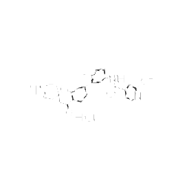 Cc1ccc(NC(=O)c2ccnc(C(F)(F)F)c2)cc1-c1ccc2c(c1)OC1(CCNCC1)CC2=O.Cl